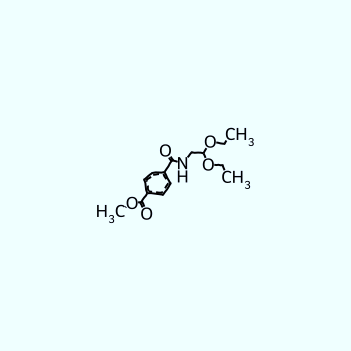 CCOC(CNC(=O)c1ccc(C(=O)OC)cc1)OCC